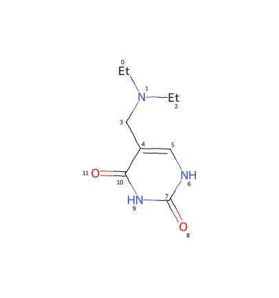 CCN(CC)Cc1c[nH]c(=O)[nH]c1=O